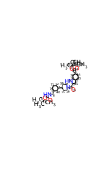 CC(C)(C)OC(=O)NCc1cccc(C2CCN(C(=O)c3cc4ccc(B5OC(C)(C)C(C)(C)O5)cc4[nH]3)CC2)c1